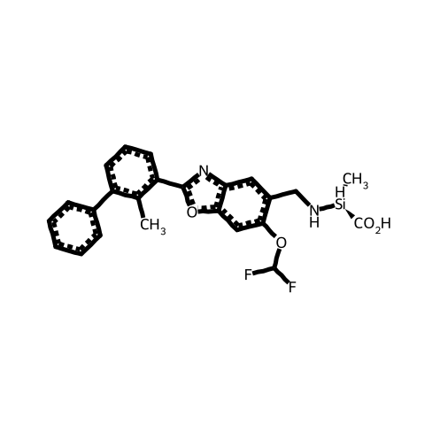 Cc1c(-c2ccccc2)cccc1-c1nc2cc(CN[Si@@H](C)C(=O)O)c(OC(F)F)cc2o1